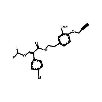 C#CCOc1ccc(CCNC(=O)C(=COC(F)F)c2ccc(CC)cc2)cc1OC